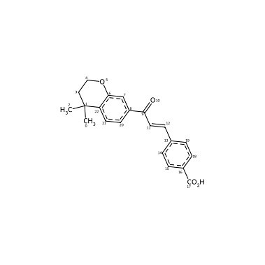 CC1(C)CCOc2cc(C(=O)C=Cc3ccc(C(=O)O)cc3)ccc21